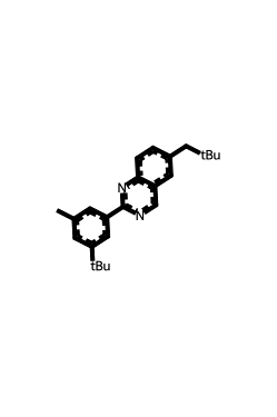 Cc1cc(-c2ncc3cc(CC(C)(C)C)ccc3n2)cc(C(C)(C)C)c1